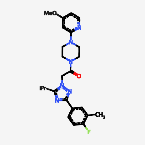 COc1ccnc(N2CCN(C(=O)Cn3nc(-c4ccc(F)c(C)c4)nc3C(C)C)CC2)c1